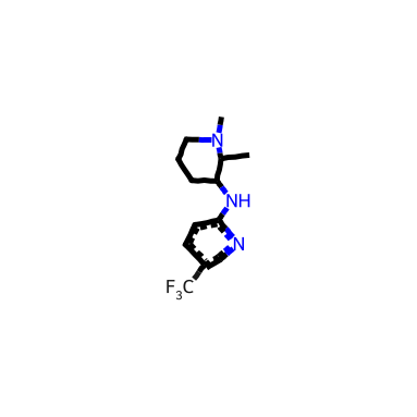 CC1C(Nc2ccc(C(F)(F)F)cn2)CCCN1C